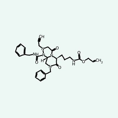 C#CCN1CC(=O)N2[C@@H](CCCNC(=O)OCC=C)C(=O)N(Cc3ccccc3)C[C@@H]2N1C(=O)NCc1ccccc1